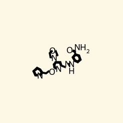 NC(=O)c1cccc(NN=Cc2cc(N3CCOCC3)cc(OCCc3ccccn3)n2)c1